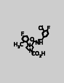 Cc1cc(F)ccc1N1CCN(C(=O)O)CC1C(=O)NCCc1ccc(F)c(Cl)c1